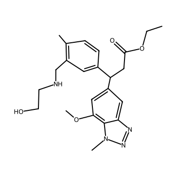 CCOC(=O)CC(c1ccc(C)c(CNCCO)c1)c1cc(OC)c2c(c1)nnn2C